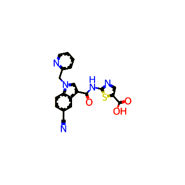 N#Cc1ccc2c(c1)c(C(=O)Nc1ncc(C(=O)O)s1)cn2Cc1ccccn1